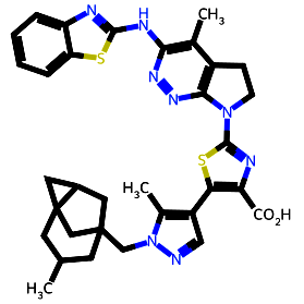 Cc1c(Nc2nc3ccccc3s2)nnc2c1CCN2c1nc(C(=O)O)c(-c2cnn(CC34CC(C)CC5(CC5C3)C4)c2C)s1